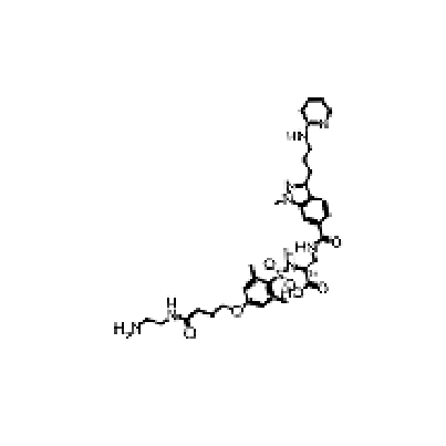 Cc1cc(OCCCC(=O)NCCN)cc(C)c1S(=O)(=O)N[C@@H](CNC(=O)c1ccc2c(CCCNC3=NCCCC3)nn(C)c2c1)C(=O)O